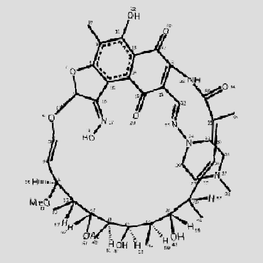 CO[C@H]1/C=C/O[C@@]2(C)Oc3c(C)c(O)c4c(c3/C2=N/O)C(=O)C(/C=N/N2CCN(C)CC2)=C(NC(=O)/C(C)=C\C=C\[C@H](C)[C@H](O)[C@@H](C)[C@@H](O)[C@@H](C)[C@H](OC(C)=O)[C@@H]1C)C4=O